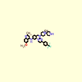 COc1ccc2nc(C)cc(Nc3ccc(CN(c4nccc(-c5ccc(C(F)(F)F)cc5)n4)C4CC[N+](C)(C5CCNCC5)CC4)cc3)c2c1